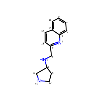 c1ccc2nc(CNC3CC[N]C3)ccc2c1